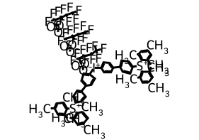 Cc1cc(C)c([S+](c2ccc(-c3ccc([I+]c4ccc(-c5ccc([S+](c6c(C)cc(C)cc6C)c6c(C)cc(C)cc6C)cc5)cc4)cc3)cc2)c2c(C)cc(C)cc2C)c(C)c1.O=S(=O)([O-])C(F)(F)C(F)(F)C(F)(F)C(F)(F)F.O=S(=O)([O-])C(F)(F)C(F)(F)C(F)(F)C(F)(F)F.O=S(=O)([O-])C(F)(F)C(F)(F)C(F)(F)C(F)(F)F